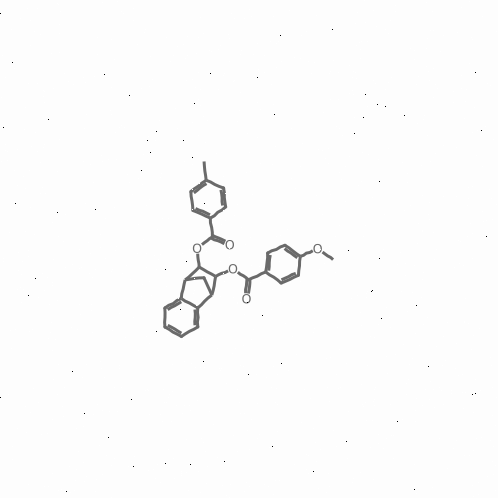 COc1ccc(C(=O)OC2C3CC(c4ccccc43)C2OC(=O)c2ccc(C)cc2)cc1